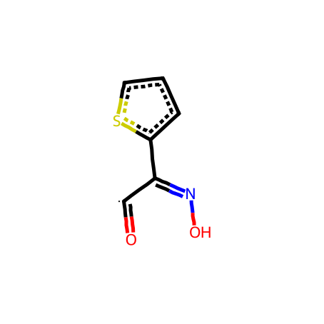 O=[C]C(=NO)c1cccs1